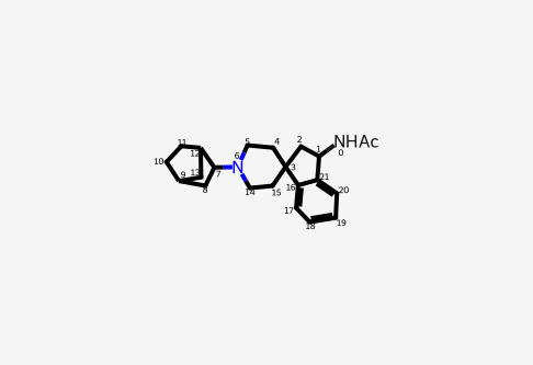 CC(=O)NC1CC2(CCN(C3CC4CCC3C4)CC2)c2ccccc21